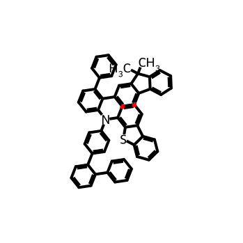 CC1(C)c2ccccc2-c2ccc(-c3c(-c4ccccc4)cccc3N(c3ccc(-c4ccccc4-c4ccccc4)cc3)c3cccc4c3sc3ccccc34)cc21